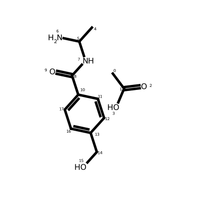 CC(=O)O.CC(N)NC(=O)c1ccc(CO)cc1